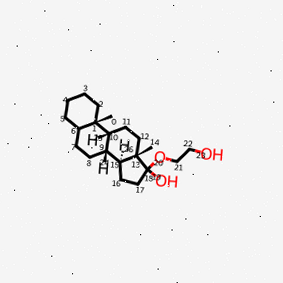 C[C@]12CCCCC1CC[C@@H]1[C@H]2CC[C@@]2(C)[C@H]1CCC2(O)OCCO